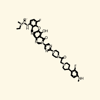 CCN(C)[S+]([O-])Nc1ccc(F)c(Oc2ccc3ncn(-c4cnc(N5CCN(C(=O)CN6CCC(c7ccc(NC)cc7F)CC6)CC5)nc4)c(=O)c3c2O)c1C#N